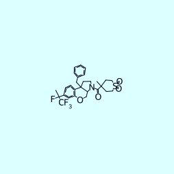 CC1(C(=O)N2CCC3(Cc4ccccc4)c4ccc(C(C)(F)C(F)(F)F)cc4OCC23)CCS(=O)(=O)CC1